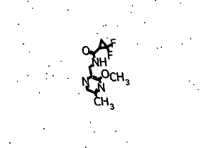 COc1nc(C)cnc1CNC(=O)C1CC1(F)F